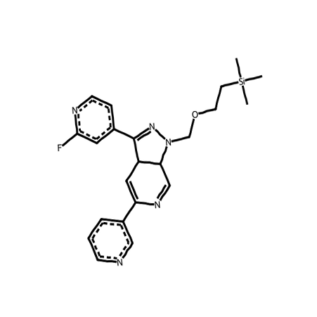 C[Si](C)(C)CCOCN1N=C(c2ccnc(F)c2)C2C=C(c3cccnc3)N=CC21